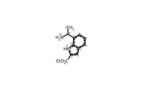 CCOC(=O)c1cc2cccc(C(C)N)c2[nH]1